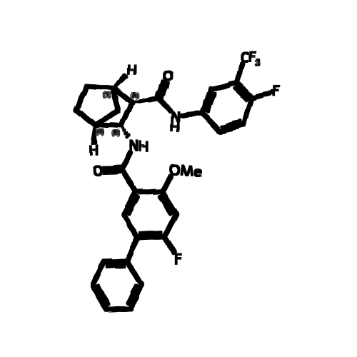 COc1cc(F)c(-c2ccccc2)cc1C(=O)N[C@@H]1[C@@H]2CC[C@@H](C2)[C@H]1C(=O)Nc1ccc(F)c(C(F)(F)F)c1